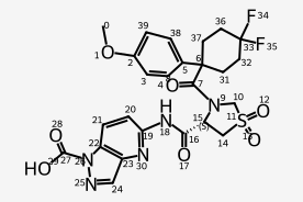 COc1ccc(C2(C(=O)N3CS(=O)(=O)C[C@@H]3C(=O)Nc3ccc4c(cnn4C(=O)O)n3)CCC(F)(F)CC2)cc1